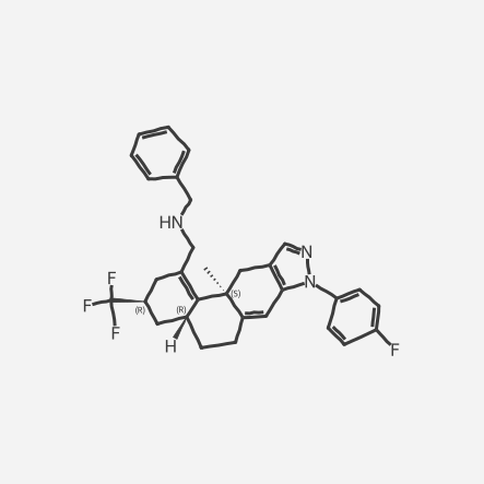 C[C@]12Cc3cnn(-c4ccc(F)cc4)c3C=C1CC[C@@H]1C[C@@H](C(F)(F)F)CC(CNCc3ccccc3)=C12